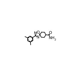 Cc1cc(C)cc(C2=NOC3(CCC(C(N)=O)CC3)[N]2)c1